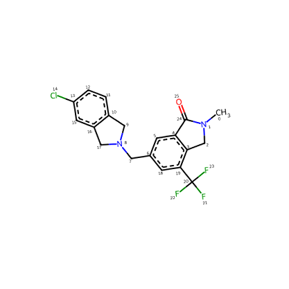 CN1Cc2c(cc(CN3Cc4ccc(Cl)cc4C3)cc2C(F)(F)F)C1=O